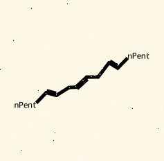 [CH2]CCCC/C=C/C/C=C/C/C=C/CCCCC